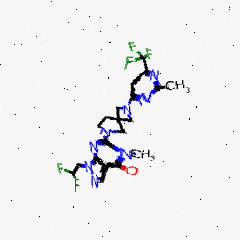 Cc1nc(N2CC3(CCN(c4nc5c(cnn5CC(F)F)c(=O)n4C)C3)C2)cc(C(F)(F)F)n1